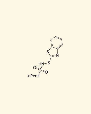 CCCCCS(=O)(=O)NSc1nc2ccccc2s1